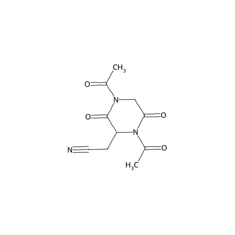 CC(=O)N1CC(=O)N(C(C)=O)C(CC#N)C1=O